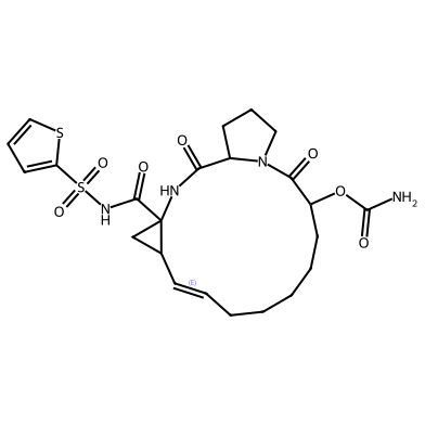 NC(=O)OC1CCCCC/C=C/C2CC2(C(=O)NS(=O)(=O)c2cccs2)NC(=O)C2CCCN2C1=O